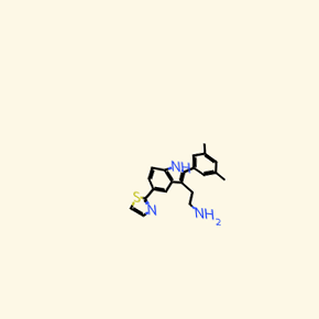 Cc1cc(C)cc(-c2[nH]c3ccc(-c4nccs4)cc3c2CCN)c1